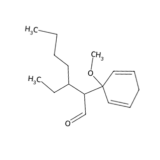 CCCCC(CC)C(C=O)C1(OC)C=CCC=C1